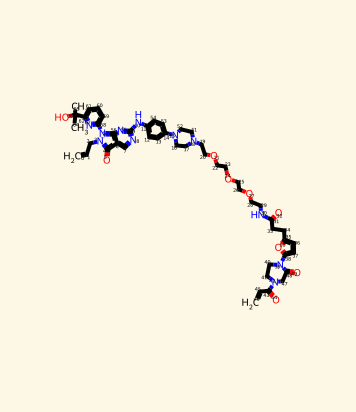 C=CCn1c(=O)c2cnc(Nc3ccc(N4CCN(CCOCCOCCOCCNC(=O)CCc5ccc(N6CCN(C(=O)C=C)CC6=O)o5)CC4)cc3)nc2n1-c1cccc(C(C)(C)O)n1